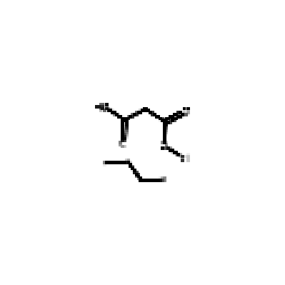 CCCC.O=C(O)CC(=O)OCl